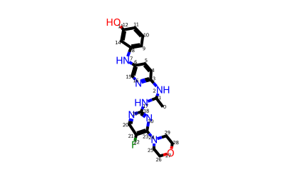 CC(Nc1ccc(Nc2cccc(O)c2)cn1)Nc1ncc(F)c(N2CCOCC2)n1